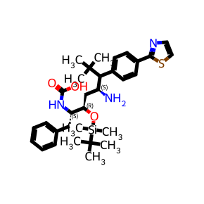 CC(C)(C)C(c1ccc(-c2nccs2)cc1)[C@@H](N)C[C@@H](O[Si](C)(C)C(C)(C)C)[C@H](Cc1ccccc1)NC(=O)O